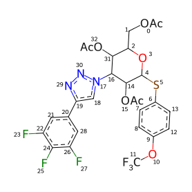 CC(=O)OCC1OC(Sc2ccc(OC(F)(F)F)cc2)C(OC(C)=O)C(n2cc(-c3cc(F)c(F)c(F)c3)nn2)C1OC(C)=O